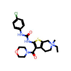 CC[N+]1(C)CCc2c(sc(NC(=O)Nc3ccc(Cl)cc3)c2C(=O)N2CCOCC2)C1